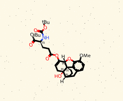 COc1ccc2c3c1O[C@H]1C(OC(=O)CC[C@H](NC(=O)OC(C)(C)C)C(=O)OCC(C)C)=CC[C@@]4(O)[C@H](CCC[C@]314)C2